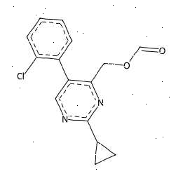 O=COCc1nc(C2CC2)ncc1-c1ccccc1Cl